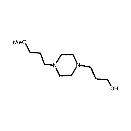 COCCCN1CCN(CCCO)CC1